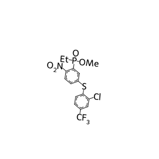 CCP(=O)(OC)c1cc(Sc2ccc(C(F)(F)F)cc2Cl)ccc1[N+](=O)[O-]